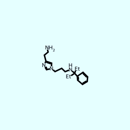 CCC(CC)(NCCCn1cnc(CCN)c1)c1ccccc1